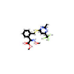 CON=C(C(=O)OC)c1ccccc1CSc1cc(C(F)(F)F)nc(C)n1